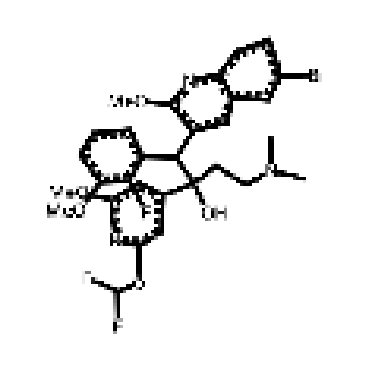 COc1cc(C(O)(CCN(C)C)C(c2cc3cc(Br)ccc3nc2OC)c2cccc(OC)c2F)cc(OC(F)F)n1